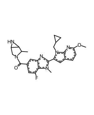 COc1ccc2cc(-c3nc4cc(C(=O)N5CC6NC6C5C)cc(F)c4n3C)n(CC3CC3)c2n1